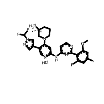 COc1cc(F)cc(F)c1-c1nccc(Nc2cc(N3CCC[C@](C)(N)C3)c(-c3cnn(C(F)F)c3)cn2)n1.Cl